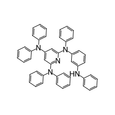 c1ccc(Nc2cccc(N(c3ccccc3)c3cc(N(c4ccccc4)c4ccccc4)cc(N(c4ccccc4)c4ccccc4)n3)c2)cc1